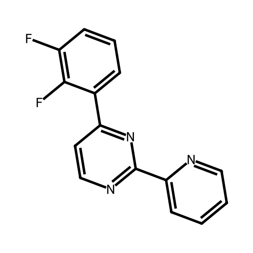 Fc1cccc(-c2ccnc(-c3ccccn3)n2)c1F